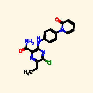 CCc1nc(C(N)=O)c(Nc2ccc(-n3ccccc3=O)cc2)nc1Cl